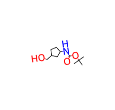 CC(C)(C)OC(=O)NC1CCC(CO)C1